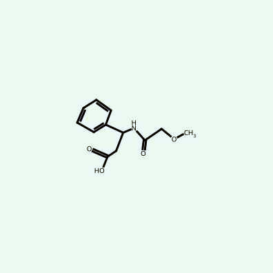 COCC(=O)NC(CC(=O)O)c1ccccc1